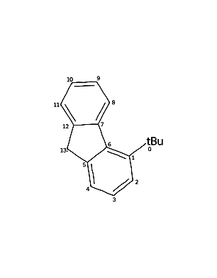 CC(C)(C)c1cccc2c1-c1ccccc1[CH]2